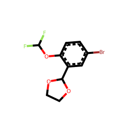 FC(F)Oc1ccc(Br)cc1C1OCCO1